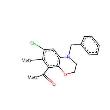 COC(=O)c1c(OC)c(Cl)cc2c1OCCN2Cc1ccccc1